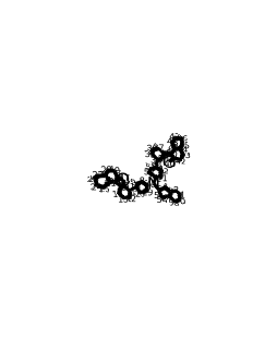 c1ccc2cc(N(c3ccc(-c4cccc5c4oc4ccc6ccccc6c45)cc3)c3ccc(-c4cccc5c4oc4ccc6ccccc6c45)cc3)ccc2c1